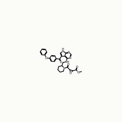 COC(=O)C1OC1C(=O)N1CCCCC1CNc1ncnc2[nH]cc(C(=O)c3ccc(Oc4ccccc4)cc3)c12